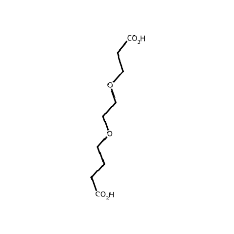 O=C(O)CCCOCCOCCC(=O)O